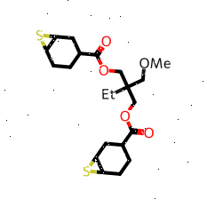 CCC(COC)(COC(=O)C1CCC2SC2C1)COC(=O)C1CCC2SC2C1